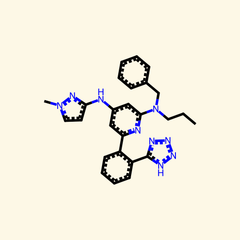 CCCN(Cc1ccccc1)c1cc(Nc2ccn(C)n2)cc(-c2ccccc2-c2nnn[nH]2)n1